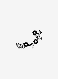 COc1ccc(CCN[C@H]2CC[C@@H](Nc3nc(N(C)C)c4ccccc4n3)CC2)cc1OC